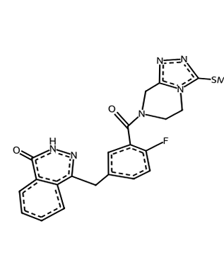 CSc1nnc2n1CCN(C(=O)c1cc(Cc3n[nH]c(=O)c4ccccc34)ccc1F)C2